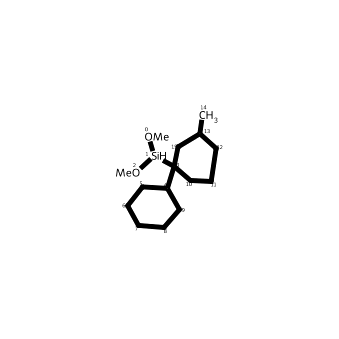 CO[SiH](OC)C1(C2CCCCC2)CCCC(C)C1